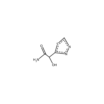 NC(=O)C(O)c1nncs1